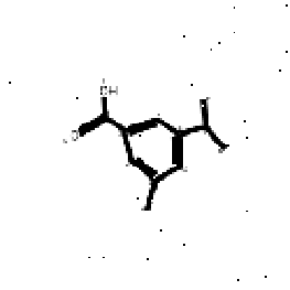 Cc1cc(C(=O)O)cc(C(C)C)c1